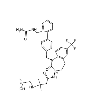 C[C@@H](O)CNC(C)(C)CC(=O)N[C@@H]1CCc2cc(C(F)(F)F)ccc2N(Cc2ccc(-c3ccccc3CNC(N)=O)cc2)C1=O